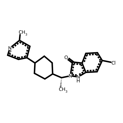 Cc1cc(C2CCC([C@@H](C)n3[nH]c4cc(Cl)ccc4c3=O)CC2)ccn1